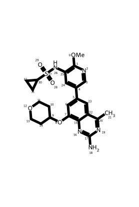 COc1ncc(-c2cc(OC3CCOCC3)c3nc(N)nc(C)c3c2)cc1NS(=O)(=O)C1CC1